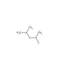 [C]C(C)CC(C)C